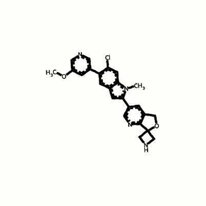 COc1cncc(-c2cc3cc(-c4cnc5c(c4)COC54CNC4)n(C)c3cc2Cl)c1